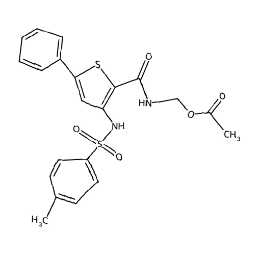 CC(=O)OCNC(=O)c1sc(-c2ccccc2)cc1NS(=O)(=O)c1ccc(C)cc1